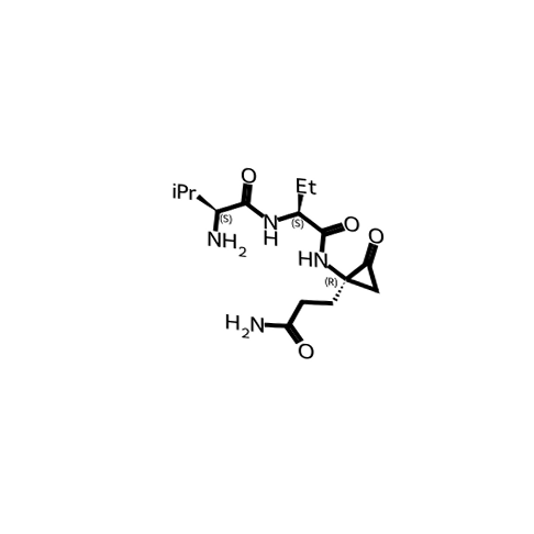 CC[C@H](NC(=O)[C@@H](N)C(C)C)C(=O)N[C@]1(CCC(N)=O)CC1=O